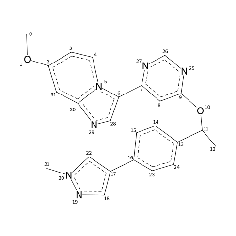 COc1ccn2c(-c3cc(OC(C)c4ccc(-c5cnn(C)c5)cc4)ncn3)cnc2c1